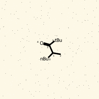 CCCCC(C)C(=O)C(C)(C)C